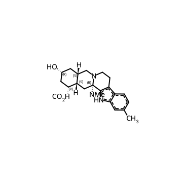 CN[C@]12C[C@H]3[C@H](C[C@@H](O)C[C@H]3C(=O)O)CN1CCc1c2[nH]c2cc(C)ccc12